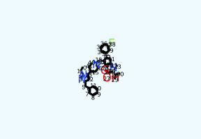 CCn1nc(Cc2ccccc2)cc1C1CCN(C[C@H]2C[C@H](N(C)[C@@H](C(=O)O)C(C)C)C[C@@H]2c2cccc(F)c2)CC1